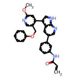 C=CC(=O)Nc1cccc(-c2cnc3[nH]cc(-c4cc(OC)ncc4COc4ccccc4)c3c2)c1